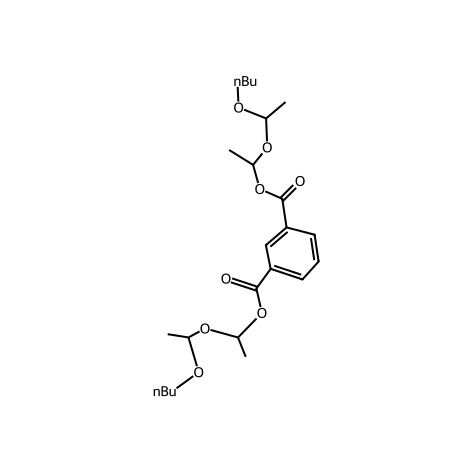 CCCCOC(C)OC(C)OC(=O)c1cccc(C(=O)OC(C)OC(C)OCCCC)c1